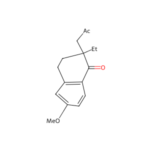 CCC1(CC(C)=O)CCc2cc(OC)ccc2C1=O